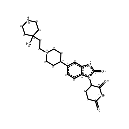 O=C1CCC(n2c(=O)oc3cc(C4CCN(CCC5(O)CCNCC5)CC4)ccc32)C(=O)N1